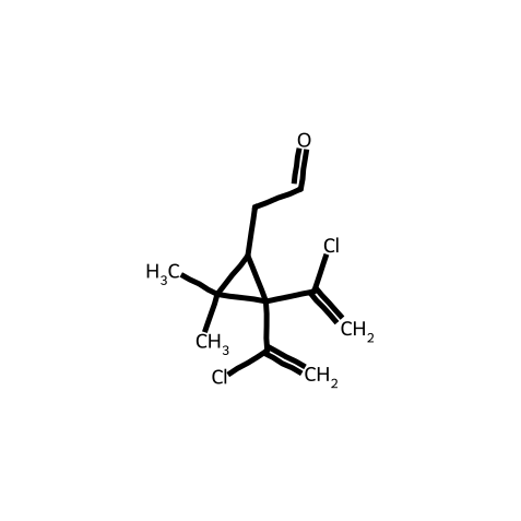 C=C(Cl)C1(C(=C)Cl)C(CC=O)C1(C)C